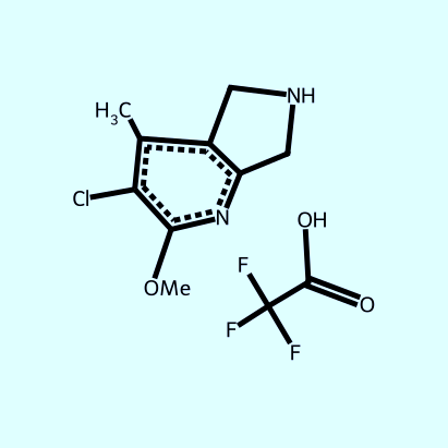 COc1nc2c(c(C)c1Cl)CNC2.O=C(O)C(F)(F)F